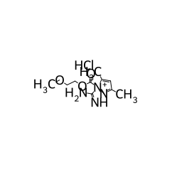 COCCOC(=O)[N+]1(C(=N)N)N=C(C)C=C1C.Cl